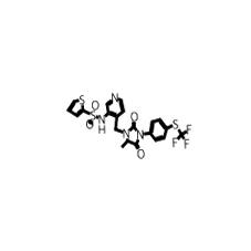 CC1C(=O)N(c2ccc(SC(F)(F)F)cc2)C(=O)N1Cc1ccncc1NS(=O)(=O)c1cccs1